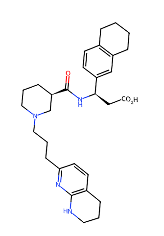 O=C(O)C[C@@H](NC(=O)[C@@H]1CCCN(CCCc2ccc3c(n2)NCCC3)C1)c1ccc2c(c1)CCCC2